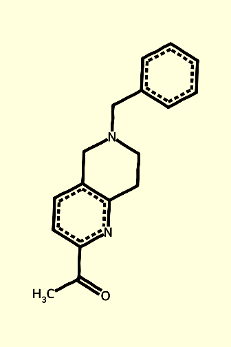 CC(=O)c1ccc2c(n1)CCN(Cc1ccccc1)C2